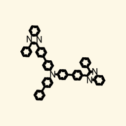 c1ccc(-c2ccc(N(c3ccc(-c4ccc(-c5nc6ccccc6nc5-c5ccccc5)cc4)cc3)c3ccc(-c4ccc(-c5nc6ccccc6nc5-c5ccccc5)cc4)cc3)cc2)cc1